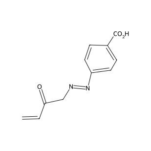 C=CC(=O)CN=Nc1ccc(C(=O)O)cc1